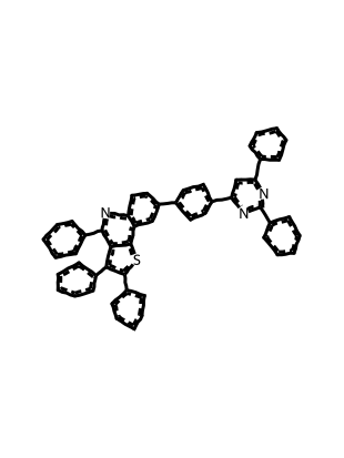 c1ccc(-c2cc(-c3ccc(-c4ccc5nc(-c6ccccc6)c6c(-c7ccccc7)c(-c7ccccc7)sc6c5c4)cc3)nc(-c3ccccc3)n2)cc1